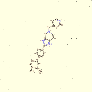 Cc1ccc(-c2ccc(-c3nc4c([nH]3)C=CN(Cc3ccncc3)C4)cc2)cc1C